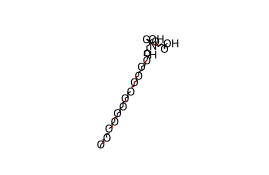 COCCOCCOCCOCCOCCOCCOCCOCCOCCOCCOCCOc1ccc(CC(NC(=O)/C=C/C(=O)O)C(=O)O)cc1